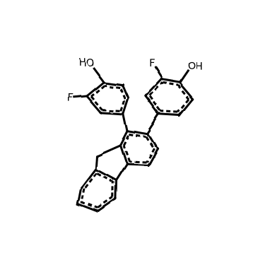 Oc1ccc(-c2ccc3c(c2-c2ccc(O)c(F)c2)Cc2ccccc2-3)cc1F